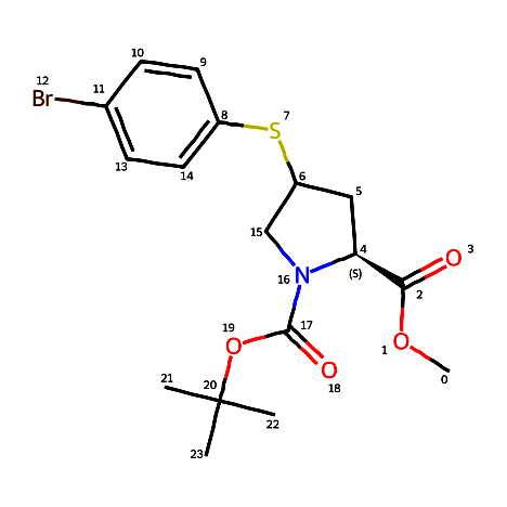 COC(=O)[C@@H]1CC(Sc2ccc(Br)cc2)CN1C(=O)OC(C)(C)C